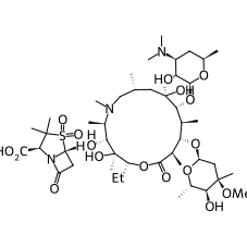 CC1(C)[C@H](C(=O)O)N2C(=O)C[C@H]2S1(=O)=O.CC[C@H]1OC(=O)[C@H](C)[C@@H](O[C@H]2C[C@@](C)(OC)[C@@H](O)[C@H](C)O2)[C@H](C)[C@@H](O[C@@H]2O[C@H](C)C[C@H](N(C)C)[C@H]2O)[C@](C)(O)C[C@@H](C)CN(C)[C@H](C)[C@@H](O)[C@]1(C)O